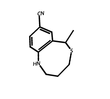 CC1SCCCNc2ccc(C#N)cc21